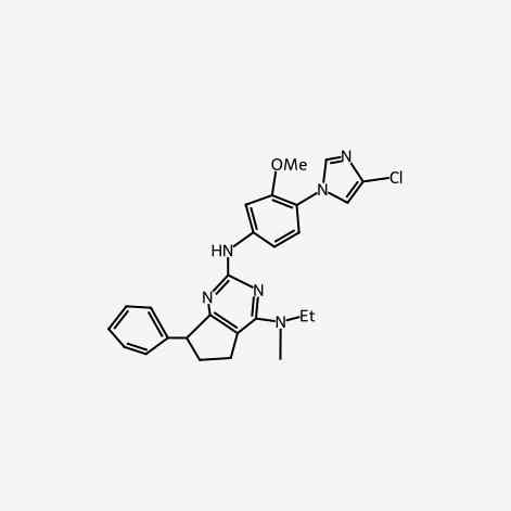 CCN(C)c1nc(Nc2ccc(-n3cnc(Cl)c3)c(OC)c2)nc2c1CCC2c1ccccc1